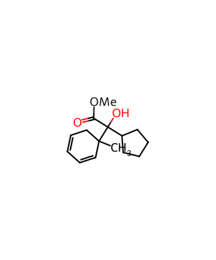 COC(=O)C(O)(C1CCCC1)C1(C)C=CC=CC1